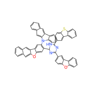 c1ccc2cc3c(cc2c1)oc1cc(C2N=C(c4ccc5oc6ccccc6c5c4)N=C(c4ccc5sc6ccccc6c5c4)N2)c(-n2c4ccccc4c4cc5ccccc5cc42)cc13